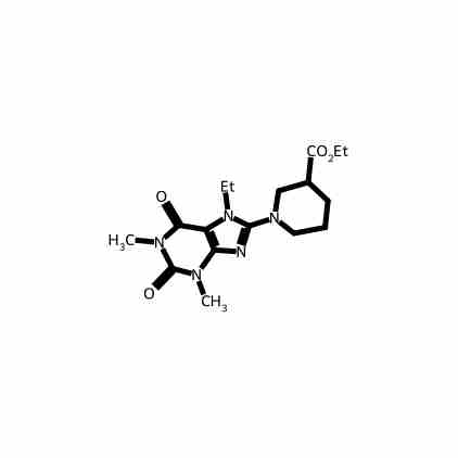 CCOC(=O)C1CCCN(c2nc3c(c(=O)n(C)c(=O)n3C)n2CC)C1